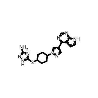 Nc1n[nH]c(SC2CCC(n3cc(-c4ncnc5[nH]ccc45)cn3)CC2)n1